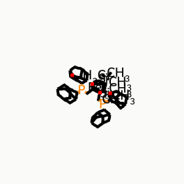 C[Si](C)(C)[C]12[CH]3[C]4(CP(C5C6CC7CC(C6)CC5C7)C5C6CC7CC(C6)CC5C7)[C]5(CP(C6C7CC8CC(C7)CC6C8)C6C7CC8CC(C7)CC6C8)[C]1([Si](C)(C)C)[Fe]34521678[CH]2[CH]1[CH]6[CH]7[CH]28